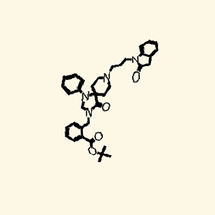 CC(C)(C)OC(=O)c1ccccc1CN1CN(c2ccccc2)C2(CCN(CCCN3C(=O)Cc4ccccc43)CC2)C1=O